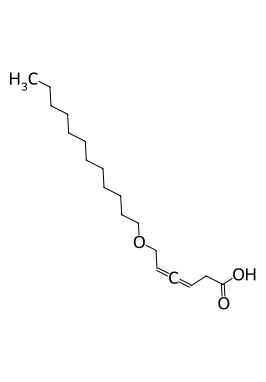 CCCCCCCCCCCCOCC=C=CCC(=O)O